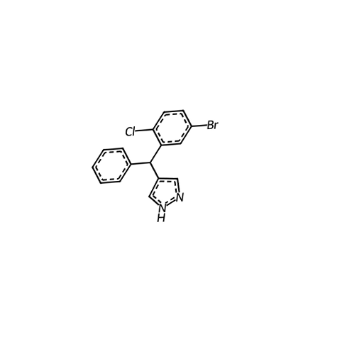 Clc1ccc(Br)cc1C(c1ccccc1)c1cn[nH]c1